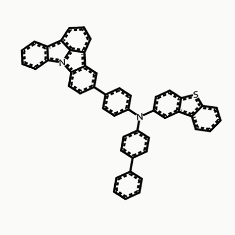 c1ccc(-c2ccc(N(c3ccc(-c4ccc5c(c4)c4cccc6c7ccccc7n5c64)cc3)c3ccc4sc5ccccc5c4c3)cc2)cc1